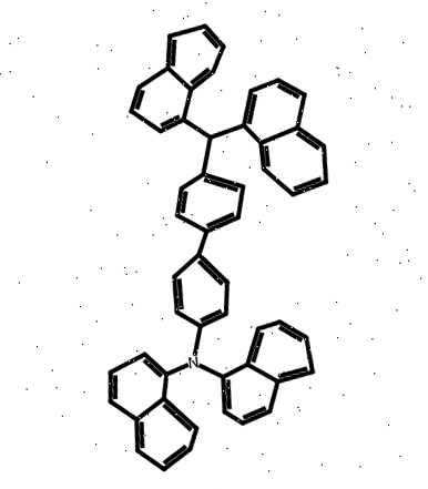 c1ccc2c(C(c3ccc(-c4ccc(N(c5cccc6ccccc56)c5cccc6ccccc56)cc4)cc3)c3cccc4ccccc34)cccc2c1